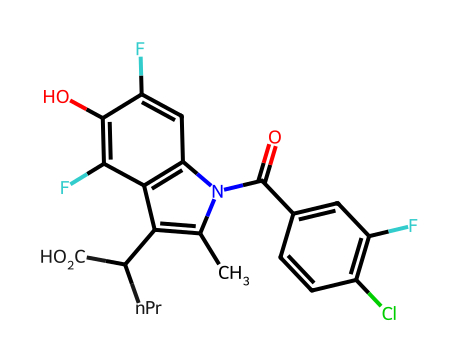 CCCC(C(=O)O)c1c(C)n(C(=O)c2ccc(Cl)c(F)c2)c2cc(F)c(O)c(F)c12